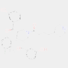 Cc1c(F)cccc1[C@H]1[C@@H](C(=O)c2cccc(O)c2)CN(C(=O)CCCC2CCNCC2)C[C@H]1C(=O)c1cccc(O)c1